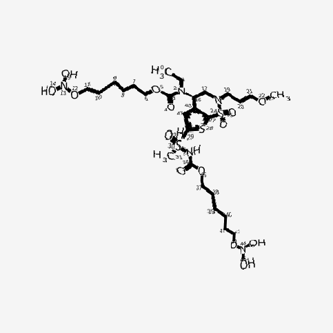 CCN(C(=O)OCCCCCCON(O)O)[C@H]1CN(CCCOC)S(=O)(=O)c2sc([SH](C)(=O)NC(=O)OCCCCCCON(O)O)cc21